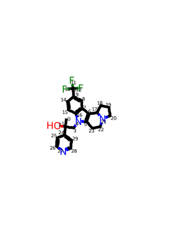 CC(O)(Cn1c2c(c3cc(C(F)(F)F)ccc31)C1CCCN1CC2)c1ccncc1